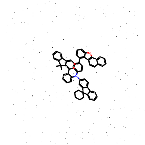 CC1(C)c2ccccc2-c2cccc(-c3ccccc3N(c3ccc(-c4cccc5oc6c7ccccc7ccc6c45)cc3)c3ccc4c(c3)C3(CCCCC3)c3ccccc3-4)c21